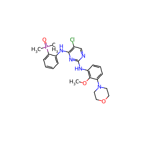 COc1c(Nc2ncc(Cl)c(Nc3ccccc3P(C)(C)=O)n2)cccc1N1CCOCC1